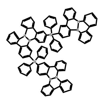 c1ccc([Si](c2ccccc2)(c2ccc3c(c2)B2c4ccc([Si](c5ccccc5)(c5ccccc5)c5ccc6c(c5)-c5ccccc5N5B6c6ccccc6-c6ccccc65)cc4-c4ccccc4N2c2ccccc2-3)c2ccc3c(c2)-c2ccccc2N2B3c3ccccc3-c3ccccc32)cc1